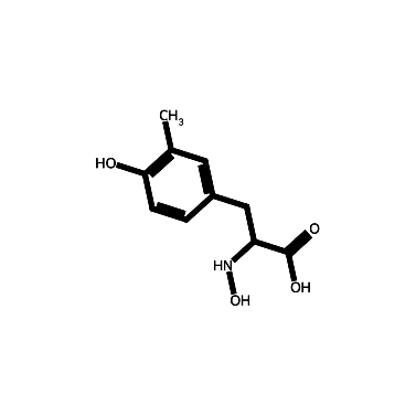 Cc1cc(CC(NO)C(=O)O)ccc1O